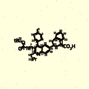 Cc1ccc(-c2c(CNC(=O)OC(C)(C)C)c(CC(C)C)nc3ccc(C(CNC(=O)O)Cc4ccccc4)cc23)cc1